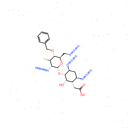 [N-]=[N+]=NC[C@H]1O[C@H](O[C@H]2[C@@H](O)[C@@H](CC(=O)O)[C@H](N=[N+]=[N-])C[C@@H]2N=[N+]=[N-])[C@H](N=[N+]=[N-])[C@@H](F)[C@@H]1OCc1ccccc1